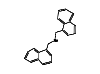 c1ccc2c(C[Se]Cc3cccc4ccccc34)cccc2c1